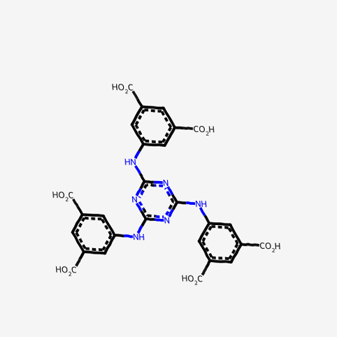 O=C(O)c1cc(Nc2nc(Nc3cc(C(=O)O)cc(C(=O)O)c3)nc(Nc3cc(C(=O)O)cc(C(=O)O)c3)n2)cc(C(=O)O)c1